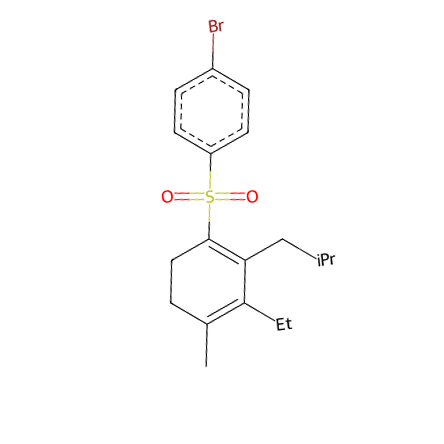 CCC1=C(C)CCC(S(=O)(=O)c2ccc(Br)cc2)=C1CC(C)C